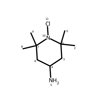 CC1(C)CC(N)CC(C)(C)N1Cl